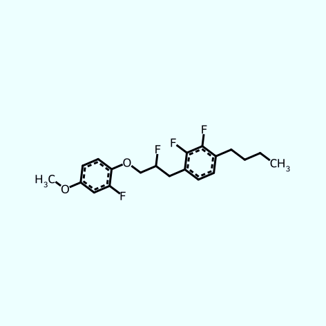 CCCCc1ccc(CC(F)COc2ccc(OC)cc2F)c(F)c1F